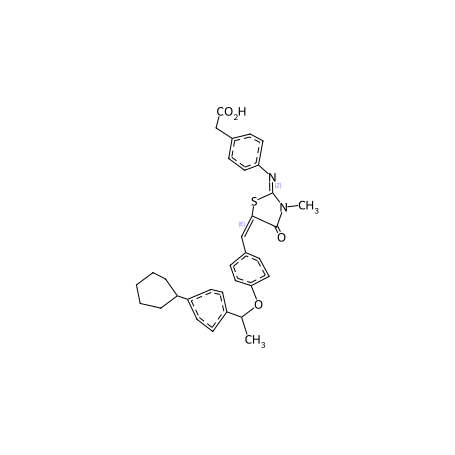 CC(Oc1ccc(/C=C2/S/C(=N\c3ccc(CC(=O)O)cc3)N(C)C2=O)cc1)c1ccc(C2CCCCC2)cc1